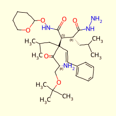 CC(C)C[C@@H](C(=O)NN)[C@H](C(=O)NOC1CCCCO1)C(C=Cc1ccccc1)(CC(C)C)C(=O)[C@H](N)COC(C)(C)C